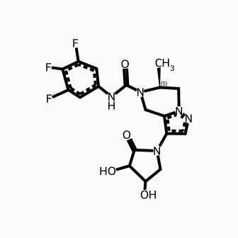 C[C@H]1Cn2ncc(N3CC(O)C(O)C3=O)c2CN1C(=O)Nc1cc(F)c(F)c(F)c1